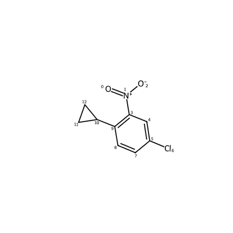 O=[N+]([O-])c1cc(Cl)ccc1C1CC1